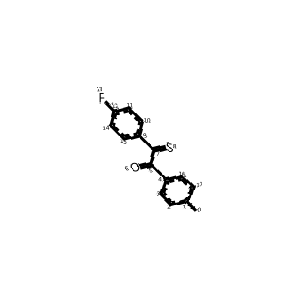 Cc1ccc(C(=O)C(=S)c2ccc(F)cc2)cc1